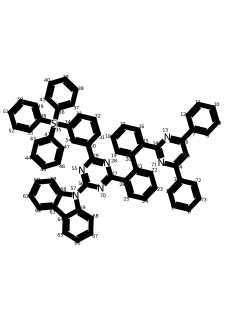 c1ccc(-c2cc(-c3ccccc3)nc(-c3ccccc3-c3ccccc3-c3nc(-c4cccc([Si](c5ccccc5)(c5ccccc5)c5ccccc5)c4)nc(-n4c5ccccc5c5ccccc54)n3)n2)cc1